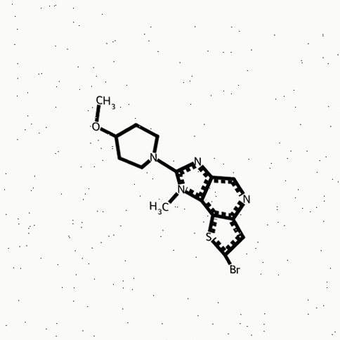 COC1CCN(c2nc3cnc4cc(Br)sc4c3n2C)CC1